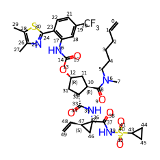 C=CCCCCN(C)C(=O)[C@@H]1C[C@H](OC(=O)Nc2cc(C(F)(F)F)ccc2-c2nc(C)c(C)s2)C[C@H]1C(=O)N[C@]1(C(=O)NS(=O)(=O)C2CC2)C[C@H]1C=C